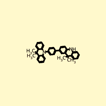 CC1(C)c2ccccc2Nc2ccc(-c3ccc(N4c5ccccc5C(C)(C)c5ccccc54)cc3)cc21